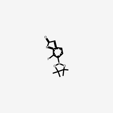 CC1(C)OB(c2ccc3c(c2F)=NC(=O)C=3)OC1(C)C